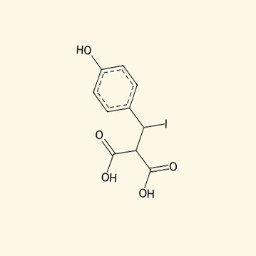 O=C(O)C(C(=O)O)C(I)c1ccc(O)cc1